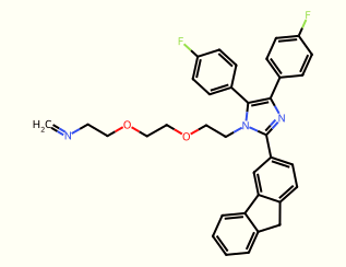 C=NCCOCCOCCn1c(-c2ccc3c(c2)-c2ccccc2C3)nc(-c2ccc(F)cc2)c1-c1ccc(F)cc1